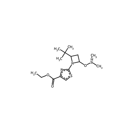 CCOC(=O)c1csc(N2C(O[SiH](C)C)CC2C(C)(C)C)n1